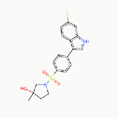 CC1(O)CCN(S(=O)(=O)c2ccc(-c3c[nH]c4cc(F)ccc34)cc2)C1